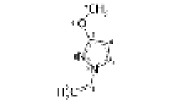 C=Cn1ccc(OC)n1